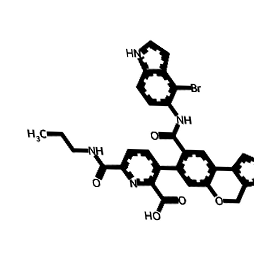 CCCNC(=O)c1ccc(-c2cc3c(cc2C(=O)Nc2ccc4[nH]ccc4c2Br)-c2ccsc2CO3)c(C(=O)O)n1